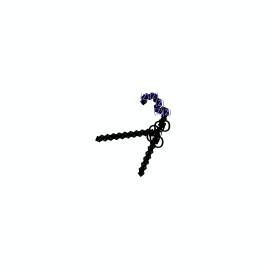 CC/C=C\C/C=C\C/C=C\C/C=C\C/C=C\CCCC(=O)OC[C@@H](COC(=O)CCCCCCCCCCCCC)OC(=O)CCCCCCCCCCCCCCCCCCC